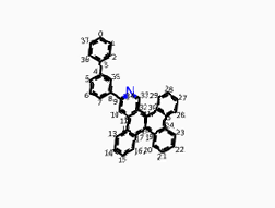 c1ccc(-c2cccc(-c3cc4c5ccccc5c5c6ccccc6c6ccccc6c5c4cn3)c2)cc1